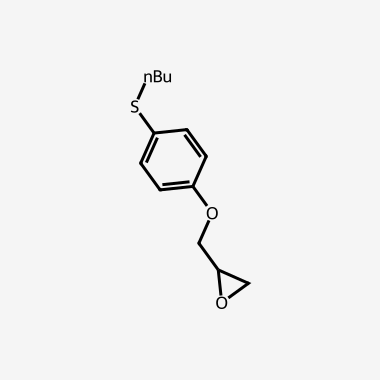 CCCCSc1ccc(OCC2CO2)cc1